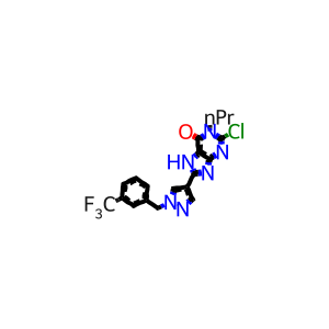 CCCn1c(Cl)nc2nc(-c3cnn(Cc4cccc(C(F)(F)F)c4)c3)[nH]c2c1=O